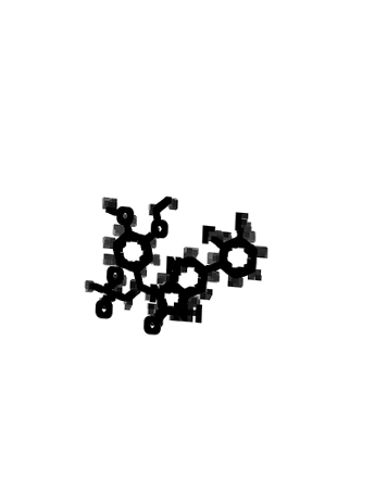 CCOc1cc([C@H](CS(C)(=O)=O)n2c(=O)[nH]c3cc(-c4cccc(F)c4F)cnc32)ccc1OC